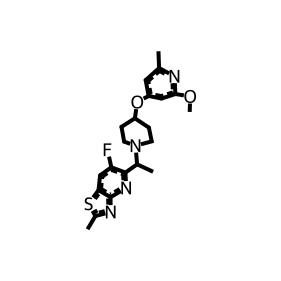 COc1cc(OC2CCN(C(C)c3nc4nc(C)sc4cc3F)CC2)cc(C)n1